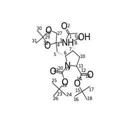 CC(=O)NC1(C[C@@H]2[C@H](CO)CC(C(=O)OC(C)(C)C)N2C(=O)OC(C)(C)C)COC(C)(C)O1